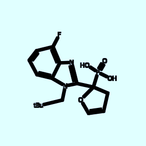 CC(C)(C)Cn1c(C2(P(=O)(O)O)CC=CO2)nc2c(F)cccc21